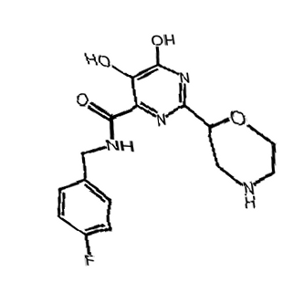 O=C(NCc1ccc(F)cc1)c1nc(C2CNCCO2)nc(O)c1O